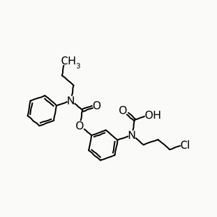 CCCN(C(=O)Oc1cccc(N(CCCCl)C(=O)O)c1)c1ccccc1